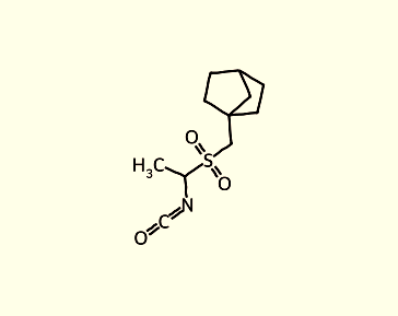 CC(N=C=O)S(=O)(=O)CC12CCC(CC1)C2